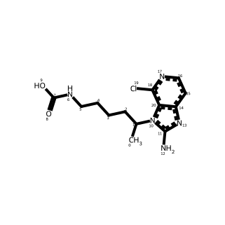 CC(CCCCNC(=O)O)n1c(N)nc2ccnc(Cl)c21